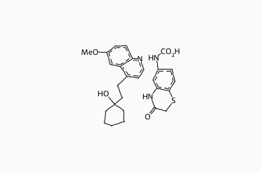 COc1ccc2nccc(CCC3(O)CCCCC3)c2c1.O=C(O)Nc1ccc2c(c1)NC(=O)CS2